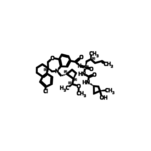 C=CC[C@H](C)C[S@](=O)(=NC(=O)c1ccc2c(c1)N(C[C@@H]1CC[C@H]1[C@H](C)OC)C[C@@]1(CCCc3cc(Cl)ccc31)CO2)NC(=O)N[C@H]1C[C@@](C)(O)C1